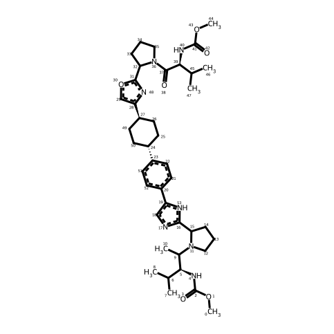 COC(=O)N[C@@H](C(C)C)C(C)N1CCCC1c1ncc(-c2ccc([C@H]3CC[C@H](c4coc(C5CCCN5C(=O)[C@@H](NC(=O)OC)C(C)C)n4)CC3)cc2)[nH]1